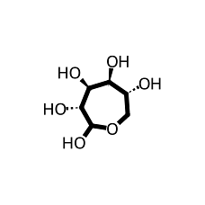 OC1OC[C@@H](O)[C@H](O)[C@H](O)[C@H]1O